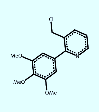 COc1cc(-c2ncccc2CCl)cc(OC)c1OC